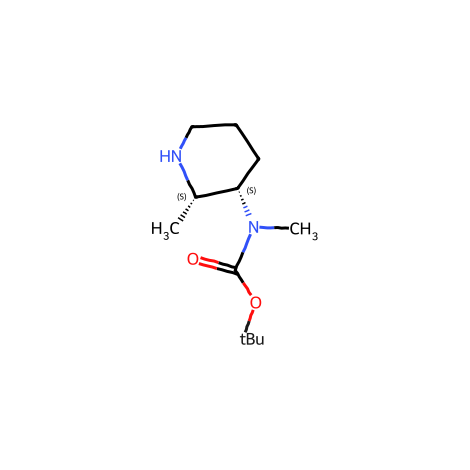 C[C@@H]1NCCC[C@@H]1N(C)C(=O)OC(C)(C)C